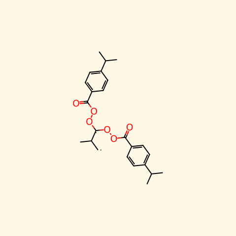 [CH2]C(C)[C](OOC(=O)c1ccc(C(C)C)cc1)OOC(=O)c1ccc(C(C)C)cc1